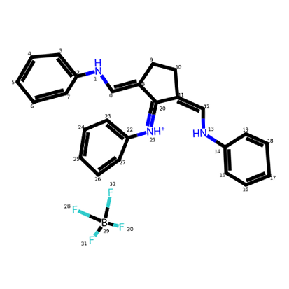 C(Nc1ccccc1)=C1CCC(=CNc2ccccc2)C1=[NH+]c1ccccc1.F[B-](F)(F)F